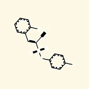 N#CC(=Cc1ccccc1Cl)S(=O)(=O)Nc1ccc(F)cc1